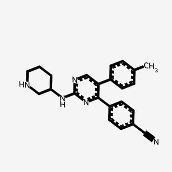 Cc1ccc(-c2cnc(NC3CCCNC3)nc2-c2ccc(C#N)cc2)cc1